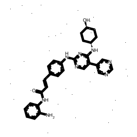 Nc1ccccc1NC(=O)/C=C/c1ccc(Nc2ncc(-c3cncnc3)c(N[C@H]3CC[C@H](O)CC3)n2)cc1